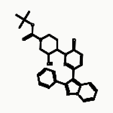 CC(C)(C)OC(=O)N1CCC(n2nc(-c3c(-c4ccccc4)nn4ccccc34)ccc2=O)C(O)C1